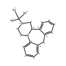 [2H]C([2H])([2H])N1CCN2c3ccccc3Cc3ccccc3C2C1